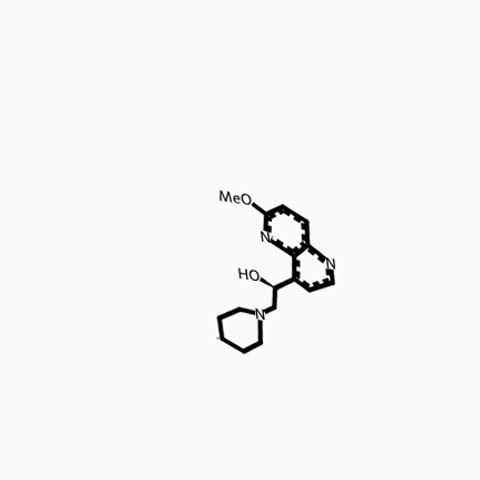 COc1ccc2nccc([C@H](O)CN3CC[CH]CC3)c2n1